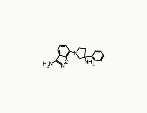 Nc1noc2c(N3CCC(N)(c4ccccc4)C3)cccc12